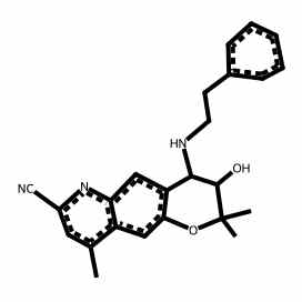 Cc1cc(C#N)nc2cc3c(cc12)OC(C)(C)C(O)C3NCCc1ccccc1